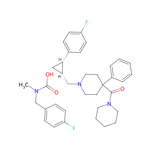 CN(Cc1ccc(F)cc1)C(=O)O.O=C(N1CCCCC1)C1(c2ccccc2)CCN(C[C@@H]2C[C@@H]2c2ccc(F)cc2)CC1